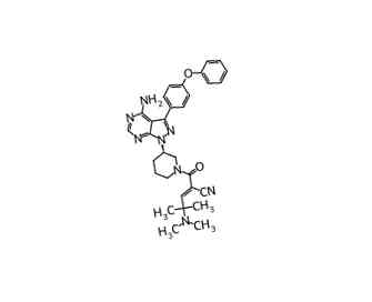 CN(C)C(C)(C)C=C(C#N)C(=O)N1CCC[C@@H](n2nc(-c3ccc(Oc4ccccc4)cc3)c3c(N)ncnc32)C1